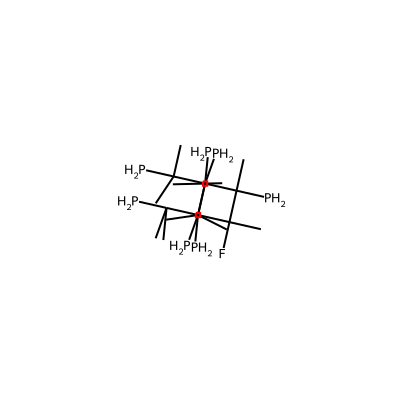 CC(C)(P)C(C)(P)C(C)(P)C(C)(F)C(C)(P)C(C)(P)C(C)(P)C(C)(C)P